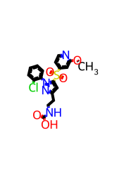 COc1cc(S(=O)(=O)c2cc(CCNC(=O)O)nn2-c2ccccc2Cl)ccn1